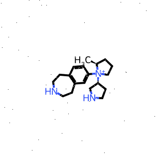 C[C@H]1CCC[N+]1(c1ccc2c(c1)CCNCC2)[C@H]1CCNC1